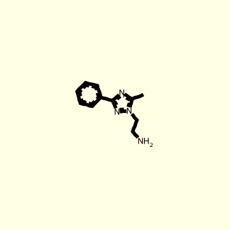 Cc1nc(-c2ccccc2)nn1CCN